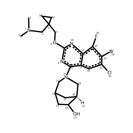 CN(C)CC1(COc2nc(N3CC4CC(O)[C@@H](C4)C3)c3cc(Cl)c(Br)c(F)c3n2)CC1